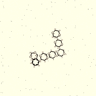 C1COCCO1.C1COCCO1.C1COCCO1.C1COCCO1.C1COCCO1.c1ccc2c(c1)COCO2